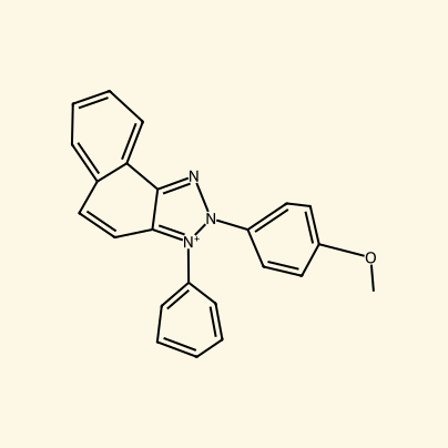 COc1ccc(-n2nc3c4ccccc4ccc3[n+]2-c2ccccc2)cc1